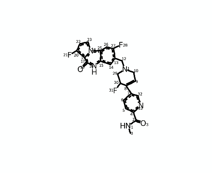 CNC(=O)c1ccc(C2=CCN(Cc3cc4[nH]c(=O)c5c(F)ccn5c4cc3F)CC2F)cn1